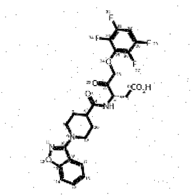 O=C(O)C[C@H](NC(=O)C1CCN(c2noc3ccccc23)CC1)C(=O)COc1c(F)c(F)cc(F)c1F